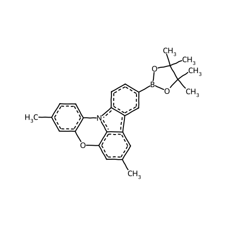 Cc1ccc2c(c1)Oc1cc(C)cc3c4cc(B5OC(C)(C)C(C)(C)O5)ccc4n-2c13